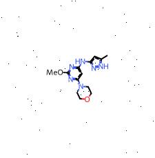 COc1nc(Nc2cc(C)[nH]n2)cc(N2CCOCC2)n1